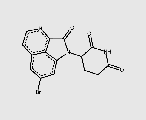 O=C1CCC(N2C(=O)c3nccc4cc(Br)cc2c34)C(=O)N1